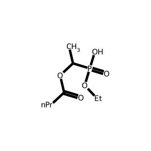 CCCC(=O)OC(C)P(=O)(O)OCC